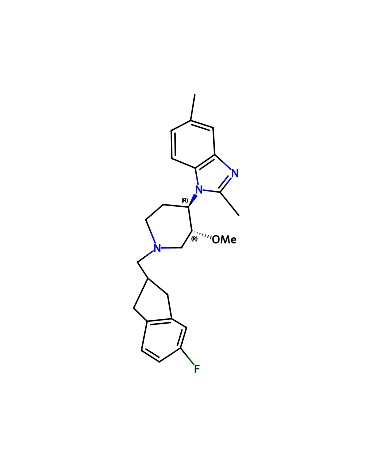 CO[C@@H]1CN(CC2Cc3ccc(F)cc3C2)CC[C@H]1n1c(C)nc2cc(C)ccc21